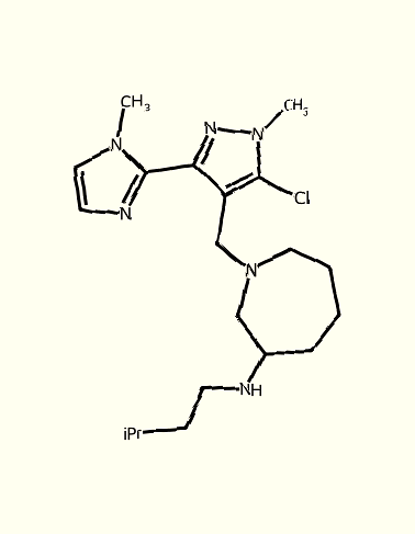 CC(C)CCNC1CCCCN(Cc2c(-c3nccn3C)nn(C)c2Cl)C1